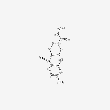 Cc1ccc(C(=O)N2CCN(C(=O)OC(C)(C)C)CC2)c(Cl)c1